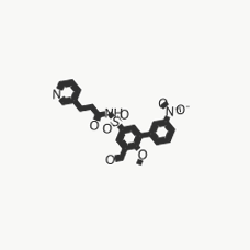 COc1c(C=O)cc(S(=O)(=O)NC(=O)CCc2cccnc2)cc1-c1cccc([N+](=O)[O-])c1